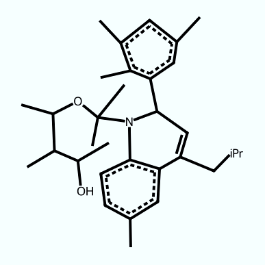 Cc1ccc2c(c1)C(CC(C)C)=CC(c1cc(C)cc(C)c1C)N2C(C)(C)OC(C)C(C)C(C)O